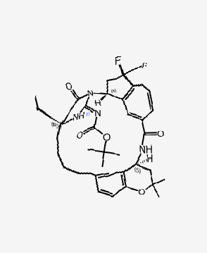 CC[C@@]12CCCCc3ccc4c(c3)[C@H](CC(C)(C)O4)NC(=O)c3ccc4c(c3)[C@@H](CC4(F)F)N(C(=O)C1)/C(=N/C(=O)OC(C)(C)C)N2